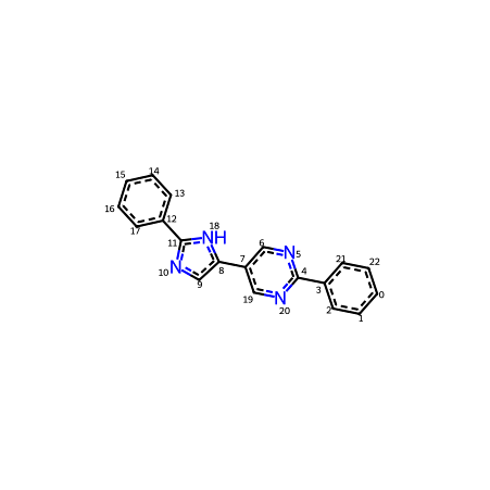 c1ccc(-c2ncc(-c3cnc(-c4ccccc4)[nH]3)cn2)cc1